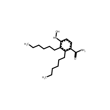 CCCCCCc1c(NO)ccc(C(N)=O)c1CCCCCC